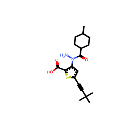 CC1CCC(C(=O)N(N)c2cc(C#CC(C)(C)C)sc2C(=O)O)CC1